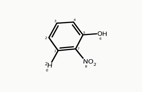 [2H]c1cccc(O)c1[N+](=O)[O-]